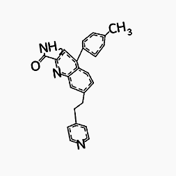 Cc1ccc(-c2cc(C(N)=O)nc3cc(CCc4ccncc4)ccc23)cc1